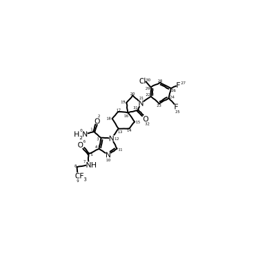 NC(=O)c1c(C(=O)NCC(F)(F)F)ncn1C1CCC2(CC1)CCN(c1cc(F)c(F)cc1Cl)C2=O